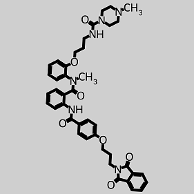 CN1CCN(C(=O)NCCCOc2ccccc2N(C)C(=O)c2ccccc2NC(=O)c2ccc(OCCCN3C(=O)c4ccccc4C3=O)cc2)CC1